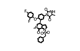 CC1NC(=O)N(c2ccc(Oc3ccc(F)cc3F)c(-c3cn(C)c(=O)c4c3ccn4S(=O)(=O)Cc3ccccc3)c2)C1=O